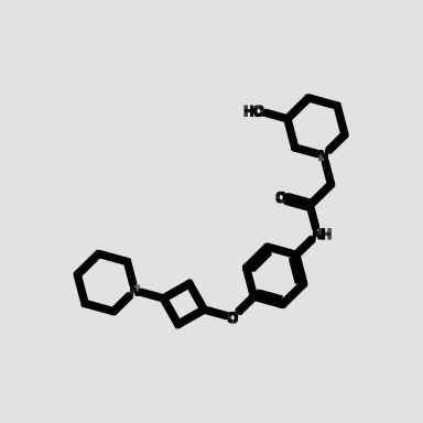 O=C(CN1CCCC(O)C1)Nc1ccc(OC2CC(N3CCCCC3)C2)cc1